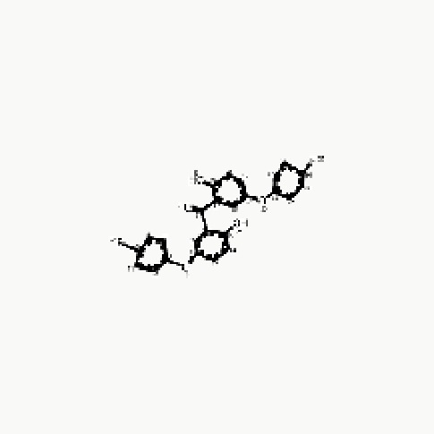 O=C(c1cc(Oc2ccc(F)cc2)ccc1O)c1cc(Oc2ccc(F)cc2)ccc1O